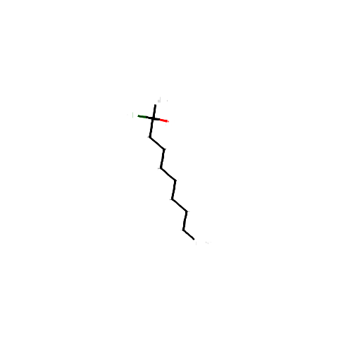 CCCCCCCCCCCCCCCCCC(O)(F)CCCCCCC